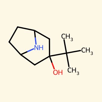 CC(C)(C)C1(O)CC2CCC(C1)N2